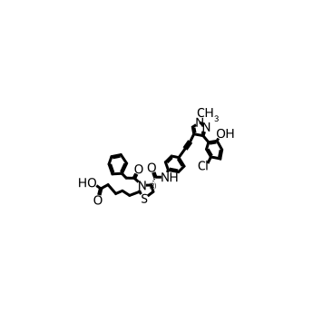 Cn1cc(C#Cc2ccc(NC(=O)[C@@H]3CSC(CCCCC(=O)O)N3C(=O)Cc3ccccc3)cc2)c(-c2cc(Cl)ccc2O)n1